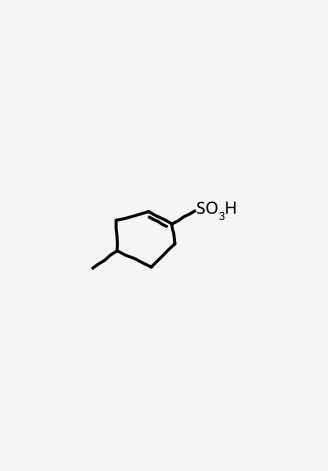 CC1CC=C(S(=O)(=O)O)CC1